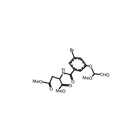 COC(=O)CC(NC(=O)c1cc(Br)cc(OC(C=O)OC)c1)C(=O)OC